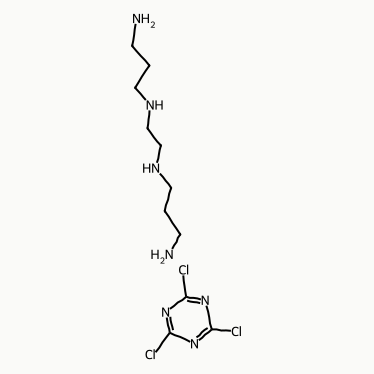 Clc1nc(Cl)nc(Cl)n1.NCCCNCCNCCCN